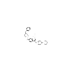 O=C(c1ccc2c(CN3CCC(N4CCCCC4)CC3)c[nH]c2c1)N1CCC(Cc2ccccc2)CC1